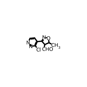 CC1ON=C(c2ccnnc2Cl)C1C=O